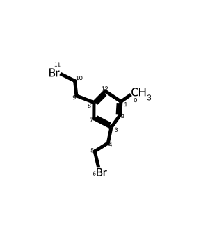 Cc1cc(CCBr)cc(CCBr)c1